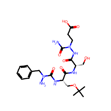 CC(C)(C)OC[C@H](NC(=O)N(N)Cc1ccccc1)C(=O)N[C@@H](CO)C(=O)NN(CCC(=O)O)C(N)=O